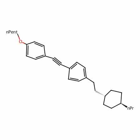 CCCCCOc1ccc(C#Cc2ccc(CC[C@H]3CC[C@H](CCC)CC3)cc2)cc1